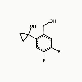 OCc1cc(Br)c(F)cc1C1(O)CC1